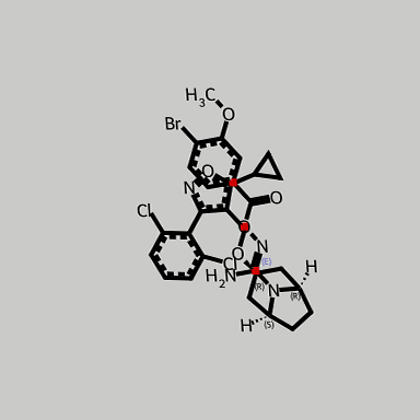 COc1cc(C(=O)O/N=C(\N)N2[C@@H]3CC[C@H]2C[C@@H](OCc2c(-c4c(Cl)cccc4Cl)noc2C2CC2)C3)ccc1Br